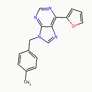 Cc1ccc(Cn2cnc3c(-c4ccco4)ncnc32)cc1